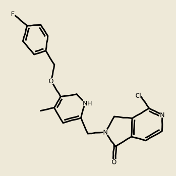 CC1=C(OCc2ccc(F)cc2)CNC(CN2Cc3c(ccnc3Cl)C2=O)=C1